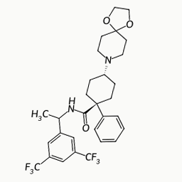 CC(NC(=O)[C@]1(c2ccccc2)CC[C@@H](N2CCC3(CC2)OCCO3)CC1)c1cc(C(F)(F)F)cc(C(F)(F)F)c1